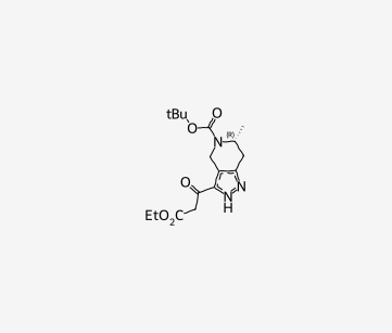 CCOC(=O)CC(=O)c1[nH]nc2c1CN(C(=O)OC(C)(C)C)[C@H](C)C2